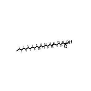 CCCCCCCCCCCCCCCCC=CCCCCC(=O)O